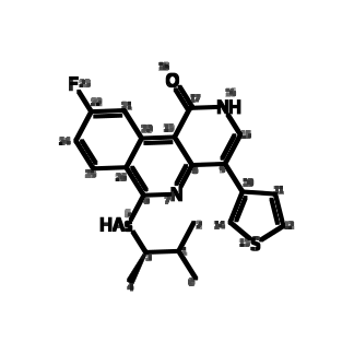 CC(C)[C@@H](C)[AsH]c1nc2c(-c3ccsc3)c[nH]c(=O)c2c2cc(F)ccc12